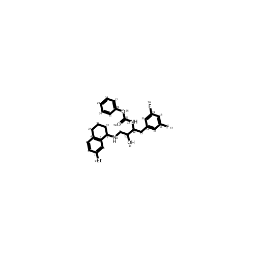 CCc1ccc2c(c1)C(NCC(O)C(Cc1cc(F)cc(F)c1)NC(=O)Oc1ccccc1)CCC2